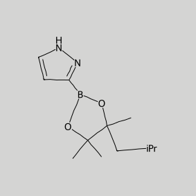 CC(C)CC1(C)OB(c2cc[nH]n2)OC1(C)C